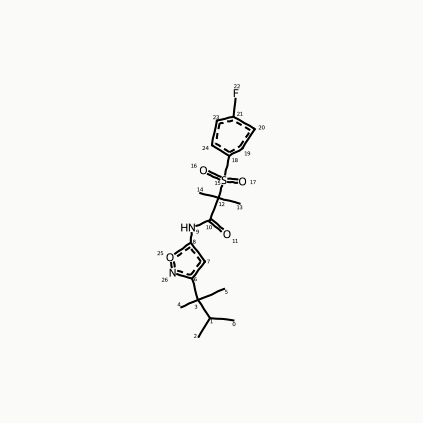 CC(C)C(C)(C)c1cc(NC(=O)C(C)(C)S(=O)(=O)c2ccc(F)cc2)on1